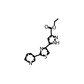 CCOC(=O)c1cc(-c2csc(-c3cccnc3)n2)[nH]n1